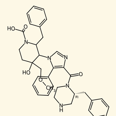 COCC1(O)CCN(C(=O)O)C(Cc2ccccc2)C1n1cnc(C(=O)N2CCNC[C@H]2Cc2ccccc2)c1-c1ccccc1